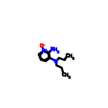 CCCN(CCC)c1ccc[n+]([O-])c1N